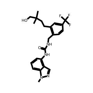 Cn1ncc2c(NC(=O)NCc3ccc(C(F)(F)F)cc3CCC(C)(C)CO)cccc21